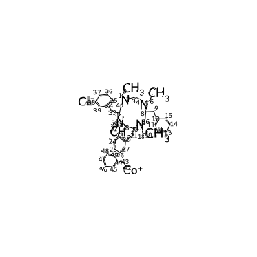 CCN1CCN(CC)C(Cc2ccccc2)CN(CC)C(Cc2ccccc2)CN(CC)C(Cc2ccccc2)C1.[Cl-].[Co+][CH2]c1ccccc1